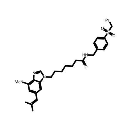 CNc1cc(C=C(C)C)cc2c1ncn2CCCCCCC(=O)NCc1ccc(S(=O)(=O)CC(C)C)cc1